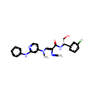 C=N/C(=C\N(C)c1ccnc(Nc2ccccc2)c1)C(=O)N[C@H](CO)c1cccc(Cl)c1